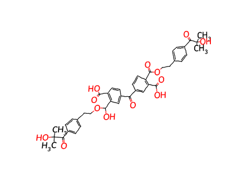 CC(C)(O)C(=O)c1ccc(CCOC(=O)c2ccc(C(=O)c3ccc(C(=O)O)c(C(O)OCCc4ccc(C(=O)C(C)(C)O)cc4)c3)cc2C(=O)O)cc1